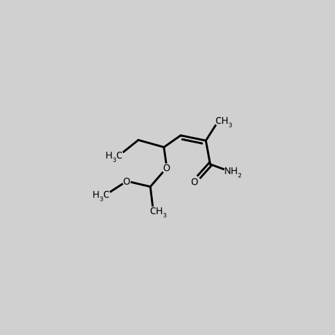 CCC(C=C(C)C(N)=O)OC(C)OC